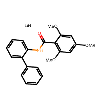 COc1cc(OC)c(C(=O)Pc2ccccc2-c2ccccc2)c(OC)c1.[LiH]